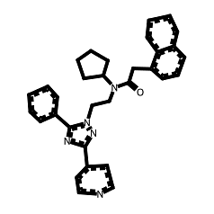 O=C(Cc1cccc2ccccc12)N(CCn1nc(-c2ccncc2)nc1-c1ccccc1)C1CCCC1